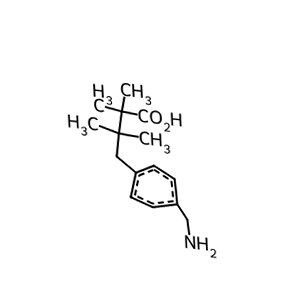 CC(C)(Cc1ccc(CN)cc1)C(C)(C)C(=O)O